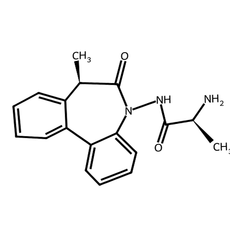 C[C@H](N)C(=O)NN1C(=O)[C@H](C)c2ccccc2-c2ccccc21